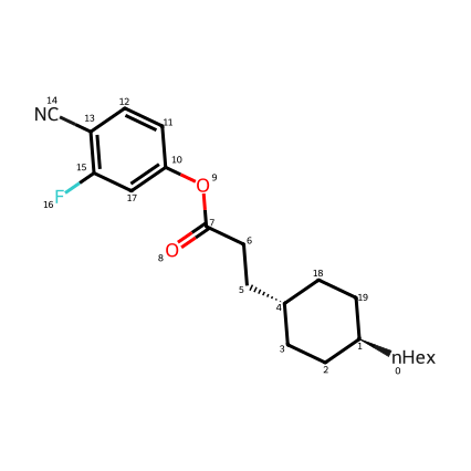 CCCCCC[C@H]1CC[C@H](CCC(=O)Oc2ccc(C#N)c(F)c2)CC1